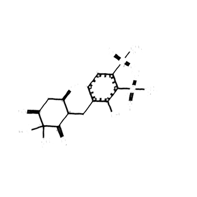 Cc1c(CC2C(=O)CC(=O)C(C)(C)C2=O)ccc(S(C)(=O)=O)c1S(C)(=O)=O